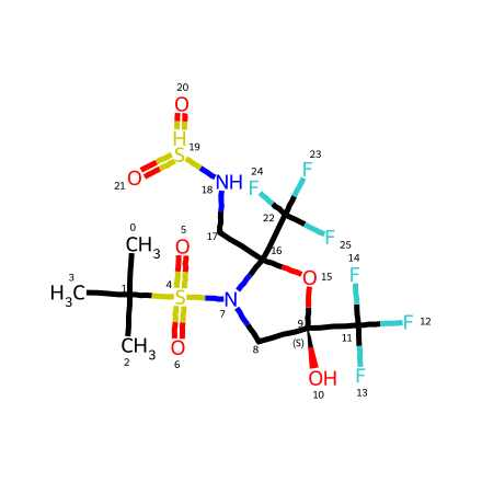 CC(C)(C)S(=O)(=O)N1C[C@@](O)(C(F)(F)F)OC1(CN[SH](=O)=O)C(F)(F)F